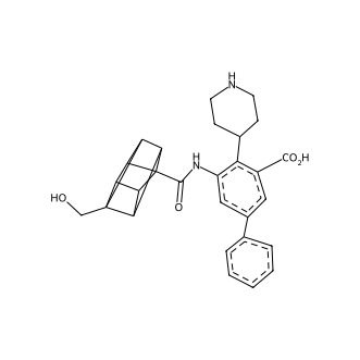 O=C(O)c1cc(-c2ccccc2)cc(NC(=O)C23C4C5C2C2C3C4C52CO)c1C1CCNCC1